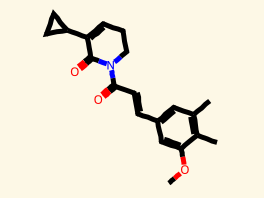 COc1cc(/C=C/C(=O)N2CCC=C(C3CC3)C2=O)cc(C)c1C